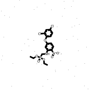 CCOP(=O)(CNc1cc(Oc2ccc(Cl)cc2Cl)ccc1[N+](=O)[O-])OCC